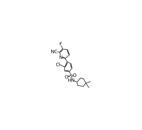 CC1(C)CCC(NS(=O)(=O)c2ccc(-c3ccc(F)c(C#N)n3)c(Cl)c2)CC1